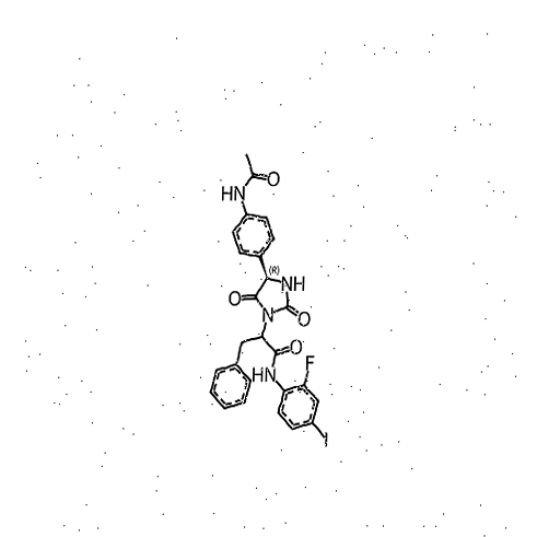 CC(=O)Nc1ccc([C@H]2NC(=O)N(C(Cc3ccccc3)C(=O)Nc3ccc(I)cc3F)C2=O)cc1